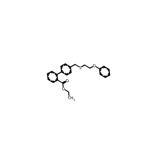 CCOC(=O)c1ccccc1-c1ccc(CSCCOc2ccccc2)cc1